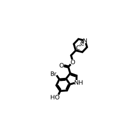 O=C(OCC12CCN(CC1)CC2)c1c[nH]c2cc(O)cc(Br)c12